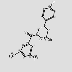 CN(C[C@@H](CCBr)c1ccc(Cl)cc1)C(=O)c1cc(C(F)(F)F)cc(C(F)(F)F)c1